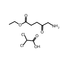 CCOC(=O)CCC(=O)CN.O=C(O)C(Cl)Cl